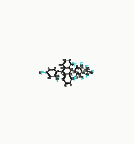 Fc1ccc(-c2c3ccccc3c(-c3c(F)c(F)c(C(F)(F)F)c(F)c3F)c3c(F)cccc23)c(F)c1